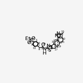 CCS(=O)(=O)c1ccc(CC(=O)Nc2nc3c(s2)CN(CC2CCn4c(C)nnc4C2)C3C(C)C)cc1